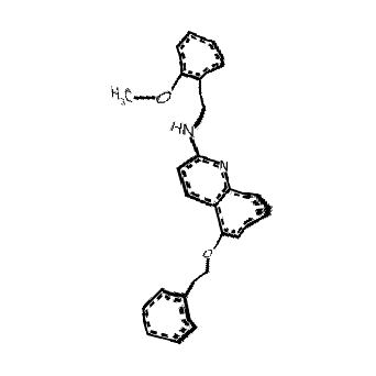 COc1ccccc1CNc1ccc2c(OCc3ccccc3)cccc2n1